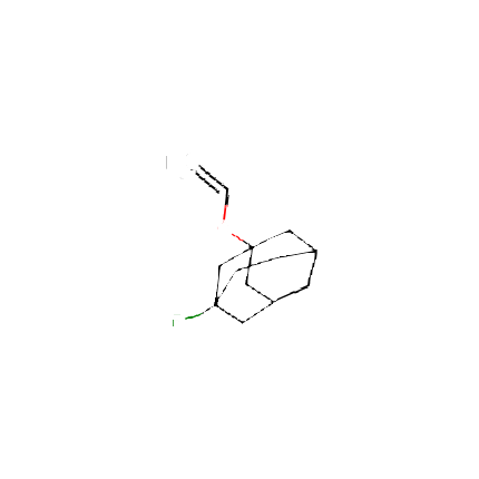 C=COC12CC3CC(CC(F)(C3)C1)C2